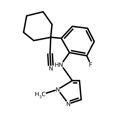 Cn1nccc1Nc1c(F)cccc1C1(C#N)CCCCC1